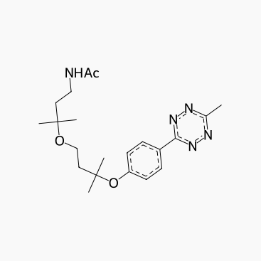 CC(=O)NCCC(C)(C)OCCC(C)(C)Oc1ccc(-c2nnc(C)nn2)cc1